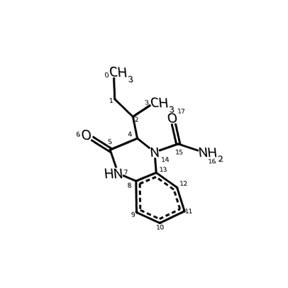 CCC(C)C1C(=O)Nc2ccccc2N1C(N)=O